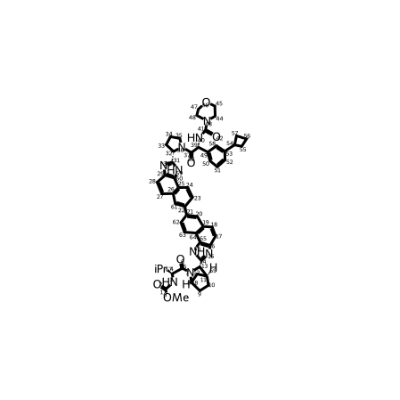 COC(=O)N[C@H](C(=O)N1[C@@H]2CC[C@@H](C2)[C@H]1c1nc2ccc3cc(-c4ccc5c(ccc6nc([C@@H]7CCCN7C(=O)[C@H](NC(=O)N7CCOCC7)c7cccc(C8CCC8)c7)[nH]c65)c4)ccc3c2[nH]1)C(C)C